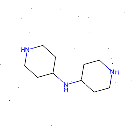 C1CC(NC2CCNCC2)CCN1